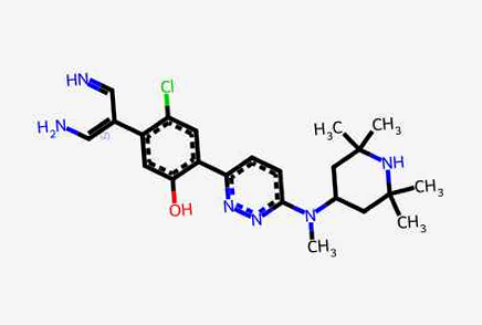 CN(c1ccc(-c2cc(Cl)c(/C(C=N)=C/N)cc2O)nn1)C1CC(C)(C)NC(C)(C)C1